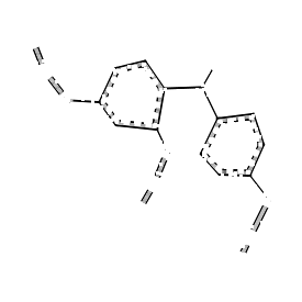 CC(c1ccc(N=C=O)cc1)c1ccc(N=C=O)cc1N=C=O